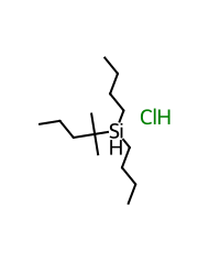 CCCC[SiH](CCCC)C(C)(C)CCC.Cl